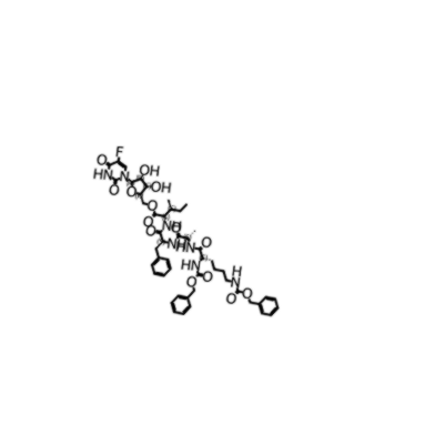 CC[C@H](C)[C@H](NC(=O)[C@H](Cc1ccccc1)NC(=O)[C@H](C)NC(=O)[C@H](CCCCNC(=O)OCc1ccccc1)NC(=O)OCc1ccccc1)C(=O)OC[C@H]1O[C@@H](n2cc(F)c(=O)[nH]c2=O)[C@H](O)[C@@H]1O